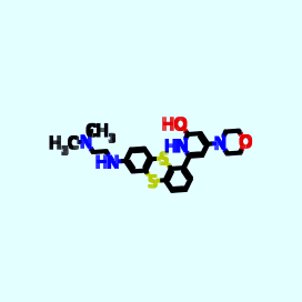 CN(C)CCNc1ccc2c(c1)Sc1cccc(C3=CC(N4CCOCC4)=CC(O)N3)c1S2